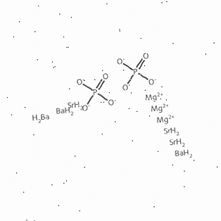 O=P([O-])([O-])[O-].O=P([O-])([O-])[O-].[BaH2].[BaH2].[BaH2].[Mg+2].[Mg+2].[Mg+2].[SrH2].[SrH2].[SrH2]